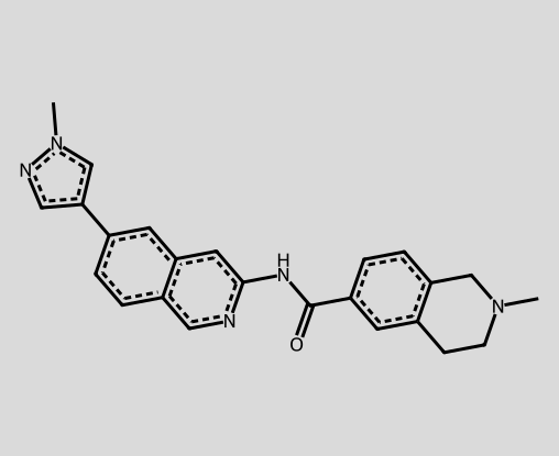 CN1CCc2cc(C(=O)Nc3cc4cc(-c5cnn(C)c5)ccc4cn3)ccc2C1